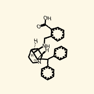 O=C(O)c1ccccc1CN[C@@H]1C2CCN(CC2)[C@H]1C(c1ccccc1)c1ccccc1